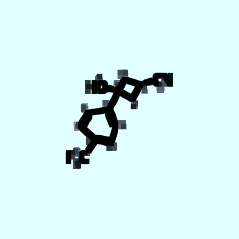 N#C[C@H]1C[C@](O)(c2ccc(C(F)(F)F)cc2)C1